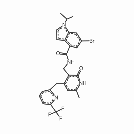 Cc1cc(Cc2cccc(C(F)(F)F)n2)c(CNC(=O)c2cc(Br)cc3c2ccn3C(C)C)c(=O)[nH]1